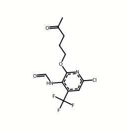 CC(=O)CCCOc1nc(Cl)cc(C(F)(F)F)c1NC=O